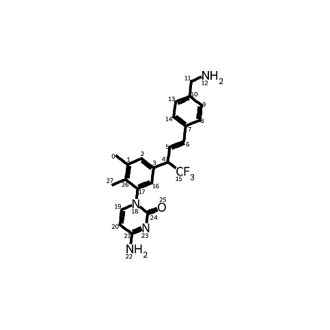 Cc1cc(C(/C=C/c2ccc(CN)cc2)C(F)(F)F)cc(-n2ccc(N)nc2=O)c1C